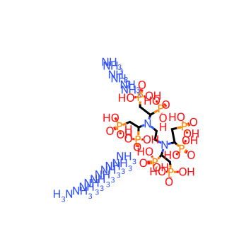 N.N.N.N.N.N.N.N.N.N.N.N.N.N.N.N.O=P(O)(O)CC(N(CCN(C(CP(=O)(O)O)P(=O)(O)O)C(CP(=O)(O)O)P(=O)(O)O)C(CP(=O)(O)O)P(=O)(O)O)P(=O)(O)O